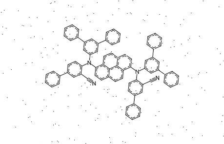 N#Cc1cc(-c2ccccc2)ccc1N(c1cc(-c2ccccc2)cc(-c2ccccc2)c1)c1ccc2ccc3c(N(c4cc(-c5ccccc5)cc(-c5ccccc5)c4)c4ccc(-c5ccccc5)cc4C#N)ccc4ccc1c2c43